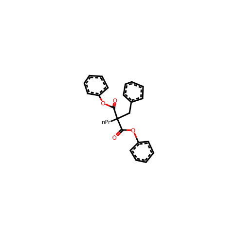 CCCC(Cc1ccccc1)(C(=O)Oc1ccccc1)C(=O)Oc1ccccc1